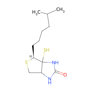 CC(C)CCCC[C@@H]1SCC2NC(=O)NC21S